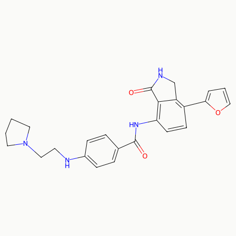 O=C(Nc1ccc(-c2ccco2)c2c1C(=O)NC2)c1ccc(NCCN2CCCC2)cc1